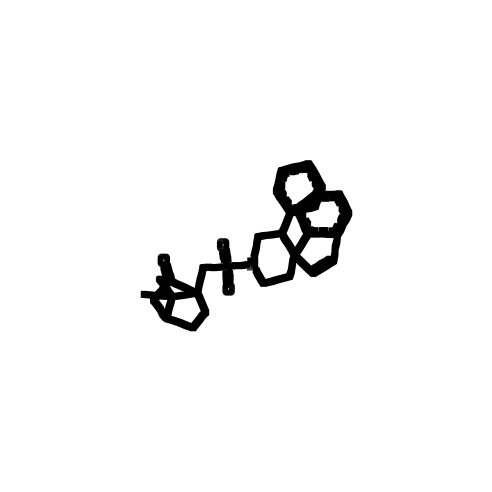 CC1(C)C2CCC1(CS(=O)(=O)N1CCC3(C=Cc4ccccc43)C(c3ccccc3)C1)C(=O)C2